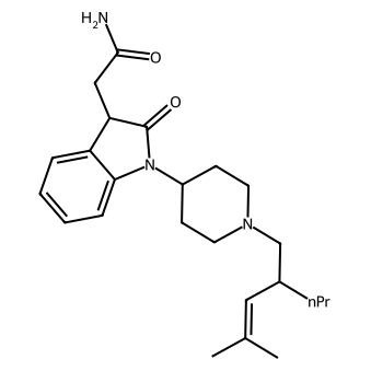 CCCC(C=C(C)C)CN1CCC(N2C(=O)C(CC(N)=O)c3ccccc32)CC1